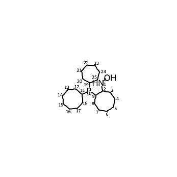 ONC1CCCCCCC1P(C1CCCCCCC1)C1CCCCCC1